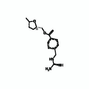 C=C(OC[C@@H]1CCC(C)O1)c1ccc(CNC(=N)N)cc1